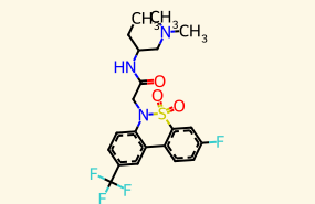 CCC(CN(C)C)NC(=O)CN1c2ccc(C(F)(F)F)cc2-c2ccc(F)cc2S1(=O)=O